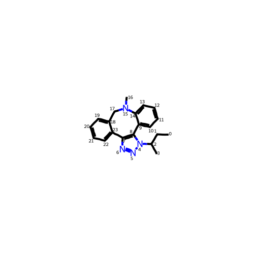 CCC(C)n1nnc2c1-c1ccccc1N(C)Cc1ccccc1-2